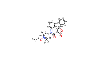 CCCON1C(C)(C)CC(NC(=O)C2=C(c3ccccc3)C(c3ccccc3)OC2=O)CC1(C)C